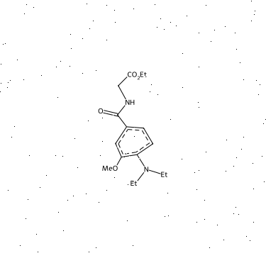 CCOC(=O)CNC(=O)c1ccc(N(CC)CC)c(OC)c1